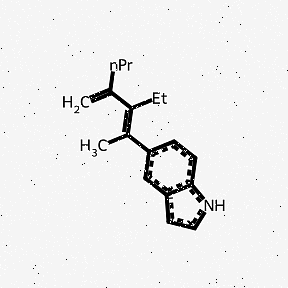 C=C(CCC)/C(CC)=C(\C)c1ccc2[nH]ccc2c1